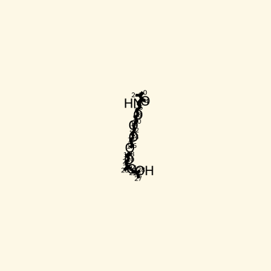 C=C(C)C(=O)NCCOCCOCCOCCOCCOCC(C)OCC(C)O